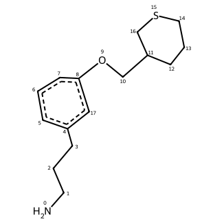 NCCCc1cccc(OCC2CCCSC2)c1